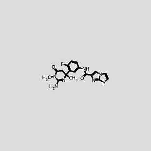 CN1C(=O)CC(C)(c2cc(NC(=O)c3cn4ccsc4n3)ccc2F)N=C1N